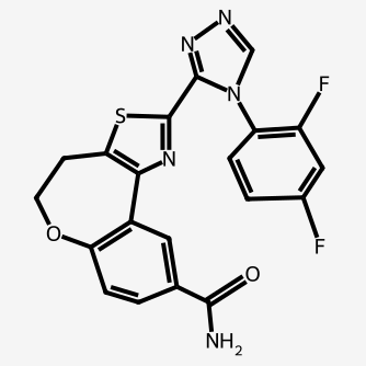 NC(=O)c1ccc2c(c1)-c1nc(-c3nncn3-c3ccc(F)cc3F)sc1CCO2